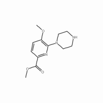 COC(=O)c1ccc(OC)c(N2CCNCC2)n1